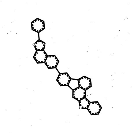 c1ccc(-c2nc3c(ccc4cc(-c5ccc6c(c5)-c5cccc7c5c-6cc5oc6ccccc6c57)ccc43)o2)cc1